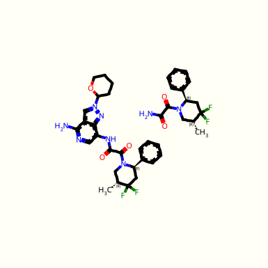 C[C@@H]1CN(C(=O)C(=O)Nc2cnc(N)c3cn(C4CCCCO4)nc23)[C@@H](c2ccccc2)CC1(F)F.C[C@@H]1CN(C(=O)C(N)=O)[C@@H](c2ccccc2)CC1(F)F